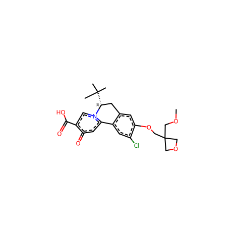 COCC1(COc2cc3c(cc2Cl)-c2cc(=O)c(C(=O)O)cn2[C@H](C(C)(C)C)C3)COC1